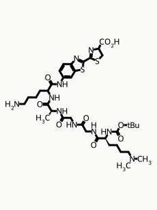 C[C@H](NC(=O)CNC(=O)CNC(=O)[C@H](CCCCN(C)C)NC(=O)OC(C)(C)C)C(=O)NC(CCCCN)C(=O)Nc1ccc2nc(C3=NC(C(=O)O)CS3)sc2c1